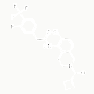 O=C(Cc1ccc(C(F)(F)F)c(F)c1)Nc1c(Cl)ccc2c1CCN(C(=O)C1CCC1)C2